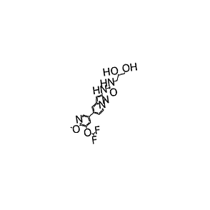 COc1ncc(-c2ccn3nc(NC(=O)NC[C@@H](O)CO)cc3c2)cc1OC(F)F